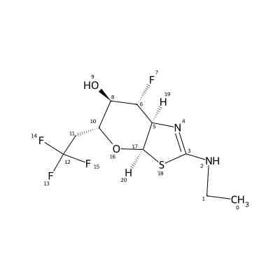 CCNC1=N[C@@H]2[C@@H](F)[C@H](O)[C@@H](CC(F)(F)F)O[C@@H]2S1